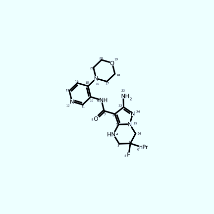 CCCC1(F)CNc2c(C(=O)Nc3cnccc3N3CCOCC3)c(N)nn2C1